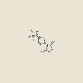 CC(c1ccc(N2C(=O)C=CC2=O)cc1)C(C)(C)C=O